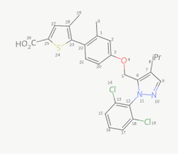 Cc1cc(OCc2c(C(C)C)cnn2-c2c(Cl)cccc2Cl)ccc1-c1sc(C(=O)O)cc1C